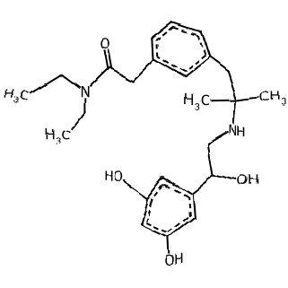 CCN(CC)C(=O)Cc1cccc(CC(C)(C)NCC(O)c2cc(O)cc(O)c2)c1